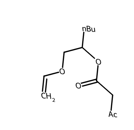 C=COCC(CCCC)OC(=O)CC(C)=O